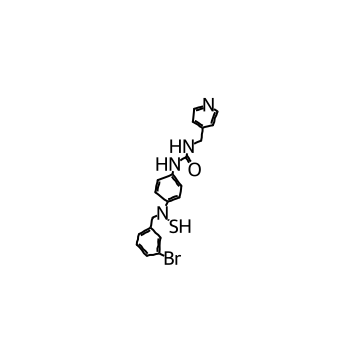 O=C(NCc1ccncc1)Nc1ccc(N(S)Cc2cccc(Br)c2)cc1